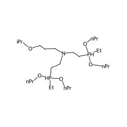 CCCO[PH](CC)(CCN(CCCOC(C)C)CC[PH](CC)(OCCC)OCCC)OCCC